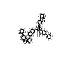 c1ccc(-c2ccc(C3N=C(c4ccc5c(c4)sc4ccccc45)N=C(c4ccc5ccc(-c6cccc7oc8ccc(-c9ccccc9)cc8c67)cc5c4)N3)cc2)cc1